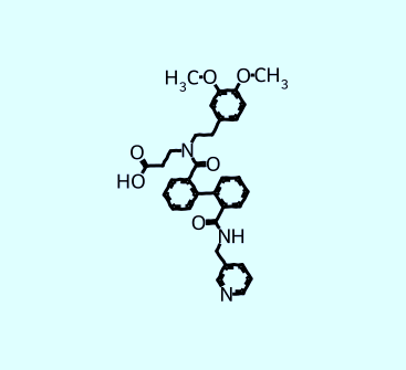 COc1ccc(CCN(CCC(=O)O)C(=O)c2ccccc2-c2ccccc2C(=O)NCc2cccnc2)cc1OC